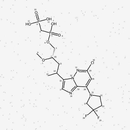 CO[C@H](COP(=O)(O)CP(=O)(O)O)CC(C)c1cnc2c(N3CCC(F)(F)C3)cc(Cl)nn12